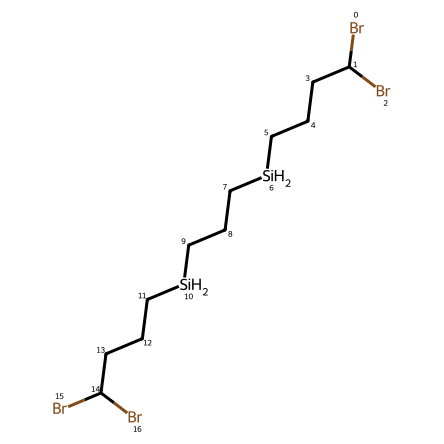 BrC(Br)CCC[SiH2]CCC[SiH2]CCCC(Br)Br